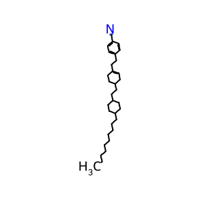 CCCCCCCCCCC1CCC(CCC2CC=C(CCc3ccc(C#N)cc3)CC2)CC1